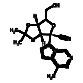 CC1(C)O[C@H]2[C@@H](O1)[C@](C#N)(c1ccc3c(N)nncn13)O[C@@H]2CO